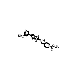 CCOc1cncc(-c2cn3nc(NCC4CCN(C(=O)OC(C)(C)C)CC4)sc3n2)c1